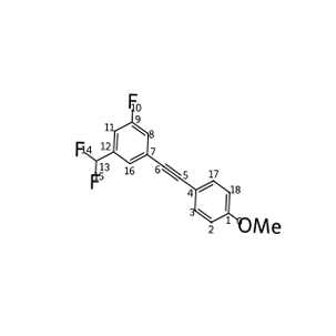 COc1ccc(C#Cc2cc(F)cc(C(F)F)c2)cc1